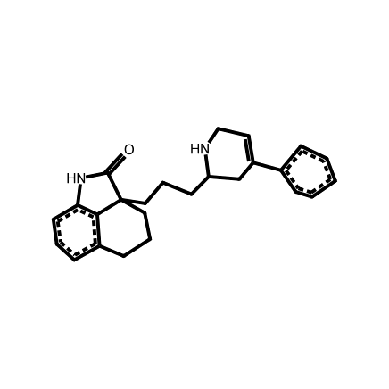 O=C1Nc2cccc3c2C1(CCCC1CC(c2ccccc2)=CCN1)CCC3